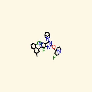 Cc1cc(-c2ncc3c(N4CC5CCC(C5)C4)nc(OC[C@@]45CCCN4C[C@H](F)C5)nc3c2F)c2c(Cl)cccc2c1